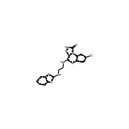 O=c1[nH]nc2c(NCCNc3nc4ccccc4s3)nc3ccc(Cl)cc3n12